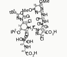 CC(C)Oc1cc(-n2nc(C(C)(C)C)oc2=O)c(Cl)cc1Cl.COc1cc(OC)nc(NC(=O)NS(=O)(=O)c2c(C(=O)O)c(Cl)nn2C)n1.O=C(O)CNCP(=O)(O)O